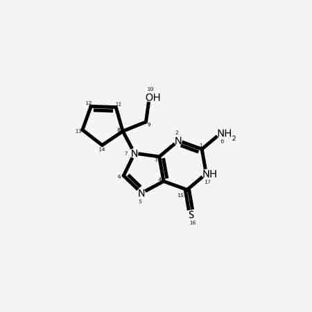 Nc1nc2c(ncn2C2(CO)C=CCC2)c(=S)[nH]1